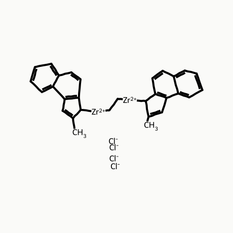 CC1=Cc2c(ccc3ccccc23)[CH]1[Zr+2][CH2][CH2][Zr+2][CH]1C(C)=Cc2c1ccc1ccccc21.[Cl-].[Cl-].[Cl-].[Cl-]